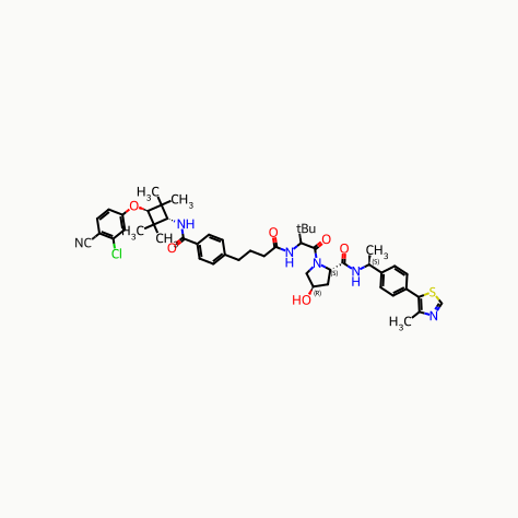 Cc1ncsc1-c1ccc([C@H](C)NC(=O)[C@@H]2C[C@@H](O)CN2C(=O)C(NC(=O)CCCc2ccc(C(=O)N[C@H]3C(C)(C)[C@H](Oc4ccc(C#N)c(Cl)c4)C3(C)C)cc2)C(C)(C)C)cc1